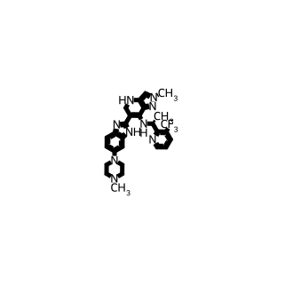 C[C@H](NC1=C(c2nc3ccc(N4CCN(C)CC4)cc3[nH]2)CNc2cn(C)nc21)c1ncccc1C(F)(F)F